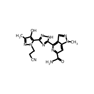 Cc1nn(CCC#N)c(-c2n[nH]c(-c3nc(C(N)=O)cc4c3cnn4C)n2)c1O